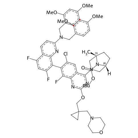 COc1ccc(CN(Cc2ccc(OC)cc2OC)c2ccc3c(F)cc(F)c(-c4c(Cl)cc5c(N6C[C@H]7CC[C@@](C)(C6)N7C(=O)OC(C)(C)C)nc(OCC6(CN7CCOCC7)CC6)nc5c4F)c3n2)c(OC)c1